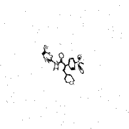 CS(=O)(=O)c1ccc(/C(=C\C2CCOCC2)C(=O)Nc2ncc(Br)s2)cc1